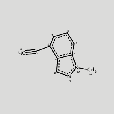 C#Cc1cccc2c1cnn2C